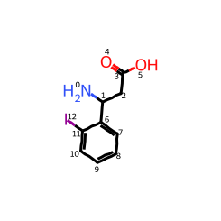 NC(CC(=O)O)c1ccccc1I